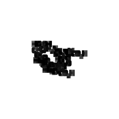 CC(C)(O/N=C(\C(=O)N[C@@H]1C(=O)N2C[C@@](C(=O)O)(N3CCN(NC(=O)N4CCN(NC(=O)C(=O)c5ccc(O)c(O)c5Cl)C4=O)C3=O)S[C@H]12)c1csc(N)n1)C(=O)O